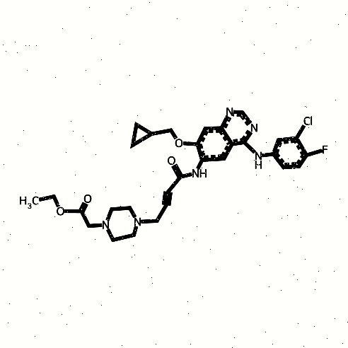 CCOC(=O)CN1CCN(CC#CC(=O)Nc2cc3c(Nc4ccc(F)c(Cl)c4)ncnc3cc2OCC2CC2)CC1